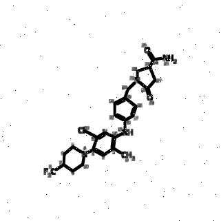 Cc1cc(N2CCC(C(F)(F)F)CC2)c(Cl)cc1Nc1ccc(CN2CC(C(N)=O)CC2=O)cc1